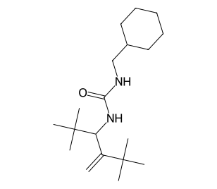 C=C(C(NC(=O)NCC1CCCCC1)C(C)(C)C)C(C)(C)C